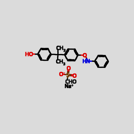 CC(C)(c1ccc(O)cc1)c1ccc(ONc2ccccc2)cc1.O=CS(=O)(=O)[O-].[Na+]